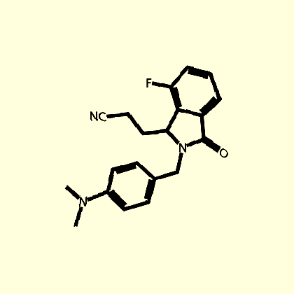 CN(C)c1ccc(CN2C(=O)c3cccc(F)c3C2CCC#N)cc1